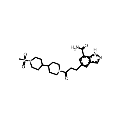 CS(=O)(=O)N1CCC(C2CCN(C(=O)[CH]Cc3cc(C(N)=O)c4[nH]ncc4c3)CC2)CC1